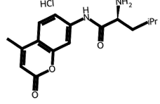 Cc1cc(=O)oc2cc(NC(=O)[C@@H](N)CC(C)C)ccc12.Cl